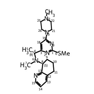 CSc1nc([C@@H](C)N(C)[C@H]2CCCc3cccnc32)cc(N2CCN(C)CC2)n1